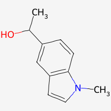 CC(O)c1ccc2c(ccn2C)c1